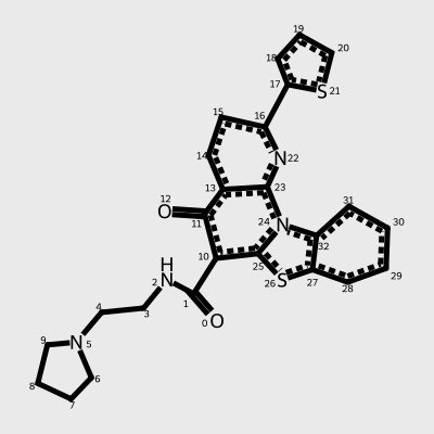 O=C(NCCN1CCCC1)c1c(=O)c2ccc(-c3cccs3)nc2n2c1sc1ccccc12